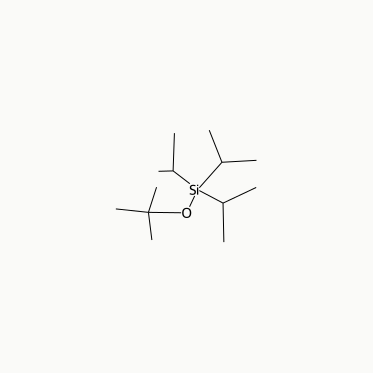 CC(C)[Si](OC(C)(C)C)(C(C)C)C(C)C